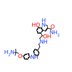 CC(C)(N)COc1ccc(Nc2ccc(CCNCC(O)c3ccc(O)c4c3C=C(C(N)=O)CN4)cc2)cc1